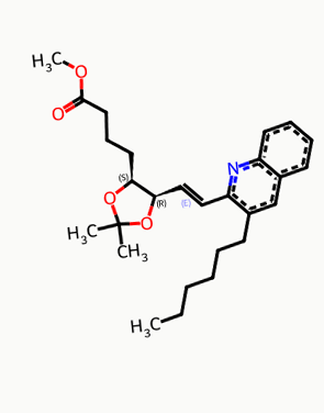 CCCCCCc1cc2ccccc2nc1/C=C/[C@H]1OC(C)(C)O[C@H]1CCCC(=O)OC